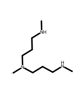 [CH2]N(CCCNC)CCCNC